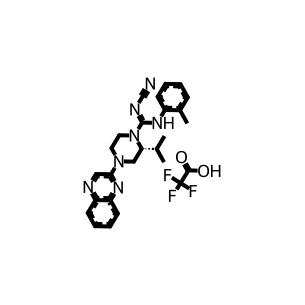 Cc1ccccc1N/C(=N\C#N)N1CCN(c2cnc3ccccc3n2)C[C@H]1C(C)C.O=C(O)C(F)(F)F